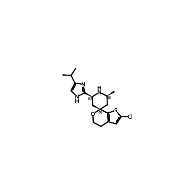 CC(C)c1c[nH]c([C@@H]2C[C@]3(C[C@H](C)N2)OCCc2cc(Cl)sc23)n1